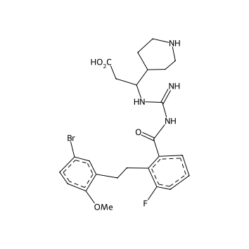 COc1ccc(Br)cc1CCc1c(F)cccc1C(=O)NC(=N)NC(CC(=O)O)C1CCNCC1